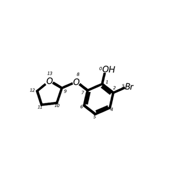 Oc1c(Br)cccc1OC1CCCO1